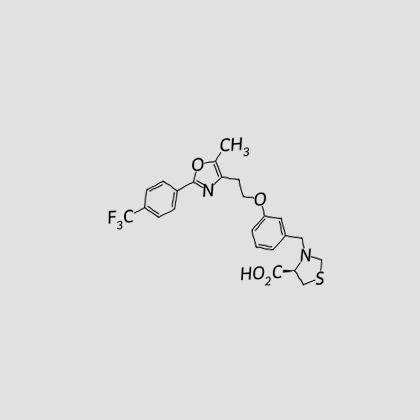 Cc1oc(-c2ccc(C(F)(F)F)cc2)nc1CCOc1cccc(CN2CSC[C@H]2C(=O)O)c1